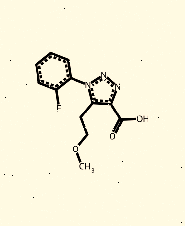 COCCc1c(C(=O)O)nnn1-c1ccccc1F